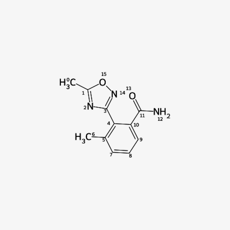 Cc1nc(-c2c(C)cccc2C(N)=O)no1